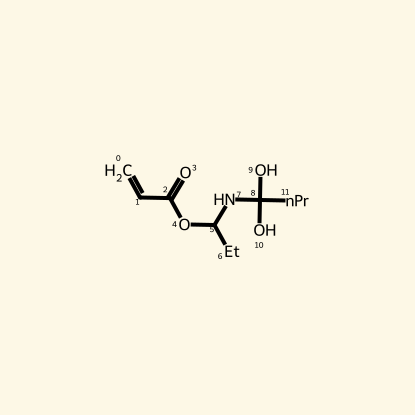 C=CC(=O)OC(CC)NC(O)(O)CCC